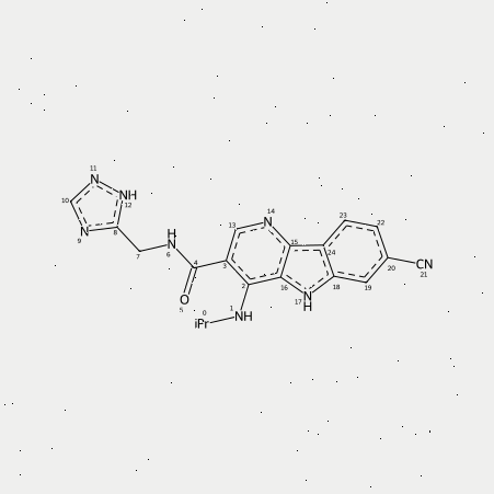 CC(C)Nc1c(C(=O)NCc2ncn[nH]2)cnc2c1[nH]c1cc(C#N)ccc12